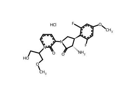 COCC(CO)n1cccc(N2C[C@@H](c3c(F)cc(OC)cc3F)[C@H](N)C2=O)c1=O.Cl